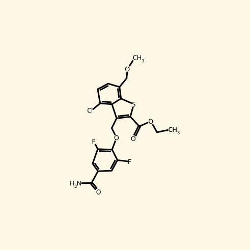 CCOC(=O)c1sc2c(COC)ccc(Cl)c2c1COc1c(F)cc(C(N)=O)cc1F